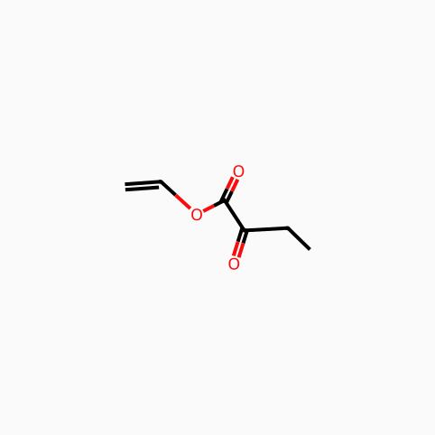 C=COC(=O)C(=O)CC